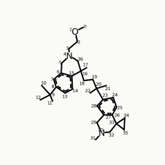 COCCN1Cc2cc(C(C)(C)C)ccc2C(C)(CCC(C)(C)c2ccc3c(c2)CN(C)CC32CC2)C1